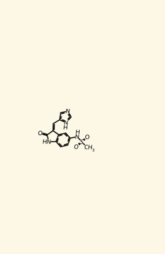 CS(=O)(=O)Nc1ccc2c(c1)/C(=C\c1cnc[nH]1)C(=O)N2